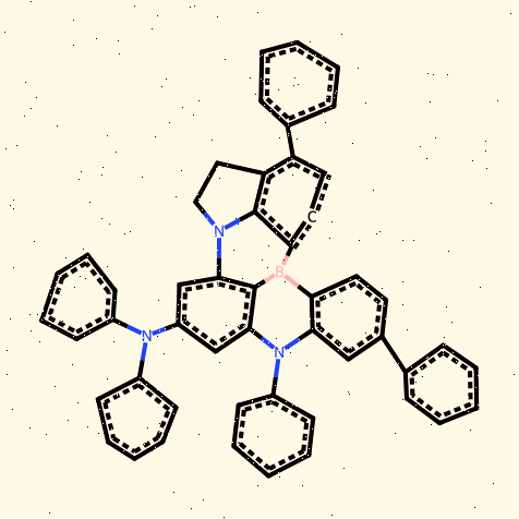 c1ccc(-c2ccc3c(c2)N(c2ccccc2)c2cc(N(c4ccccc4)c4ccccc4)cc4c2B3c2ccc(-c3ccccc3)c3c2N4CC3)cc1